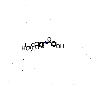 CC(C)(Oc1ccc(/C=C/C(=O)c2ccc(O)cc2)cc1)C(=O)O